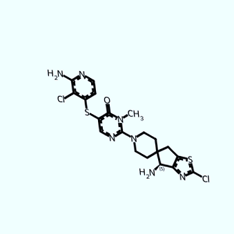 Cn1c(N2CCC3(CC2)Cc2sc(Cl)nc2[C@H]3N)ncc(Sc2ccnc(N)c2Cl)c1=O